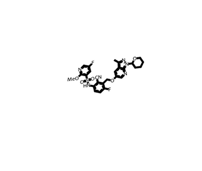 COc1ncc(F)cc1S(=O)(=O)Nc1ccc(F)c(COc2cnc3c(c2)c(C)nn3C2CCCCO2)c1C#N